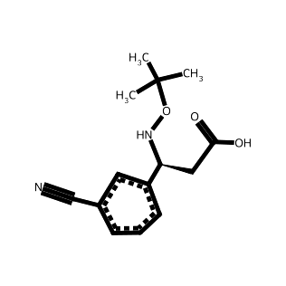 CC(C)(C)ON[C@@H](CC(=O)O)c1cccc(C#N)c1